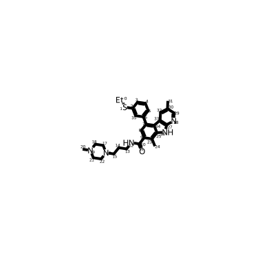 CCSc1cccc(-c2cc(C(=O)NCCCN3CCN(C)CC3)c(C)c3[nH]c4ncc(C)cc4c23)c1